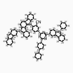 N#Cc1cc(-c2nc(-c3ccc(-c4ccccc4)cc3)nc(-c3ccc4c(c3)c3ccccc3n4-c3ccccc3)n2)ccc1-n1c2ccccc2c2ccc3c(c4ccccc4n3-c3ccc4sc5ccccc5c4c3)c21